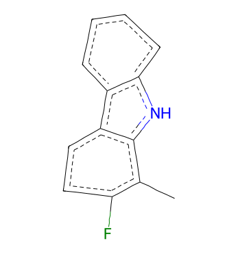 Cc1c(F)ccc2c1[nH]c1ccccc12